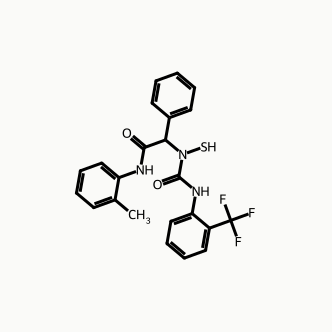 Cc1ccccc1NC(=O)C(c1ccccc1)N(S)C(=O)Nc1ccccc1C(F)(F)F